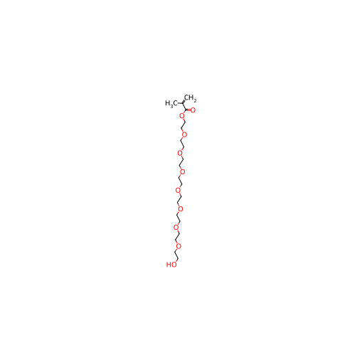 C=C(C)C(=O)OCCOCCOCCOCCOCCOCCOCCOCCO